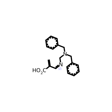 C=C(/C=N\CN(Cc1ccccc1)Cc1ccccc1)C(=O)O